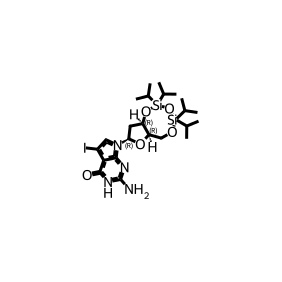 CC(C)[Si]1(C(C)C)OC[C@H]2O[C@@H](n3cc(I)c4c(=O)[nH]c(N)nc43)C[C@H]2O[Si](C(C)C)(C(C)C)O1